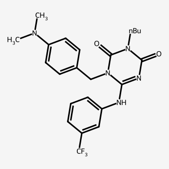 CCCCn1c(=O)nc(Nc2cccc(C(F)(F)F)c2)n(Cc2ccc(N(C)C)cc2)c1=O